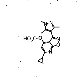 Cc1nn(C)c(C)c1-c1noc2nc(C3CC3)cc(OC(=O)O)c12